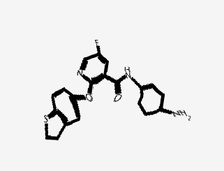 NC1CCC(NC(=O)c2cc(F)cnc2Oc2ccc3c(c2)CCS3)CC1